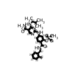 CC(C)[C@@H](C)Nc1nc(Nc2ccc(C(=O)NCc3ccccc3F)c(OS(C)(=O)=O)c2)ncc1C(N)=O